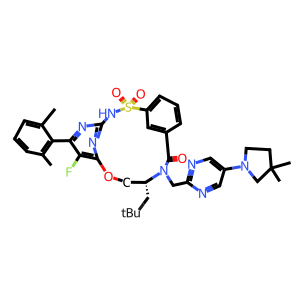 Cc1cccc(C)c1-c1nc2nc(c1F)OC[C@@H](CC(C)(C)C)N(Cc1ncc(N3CCC(C)(C)C3)cn1)C(=O)c1cccc(c1)S(=O)(=O)N2